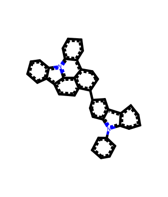 c1ccc(-n2c3ccccc3c3cc(-c4ccc5c6ccccc6n6c7ccccc7c7ccc4c5c76)ccc32)cc1